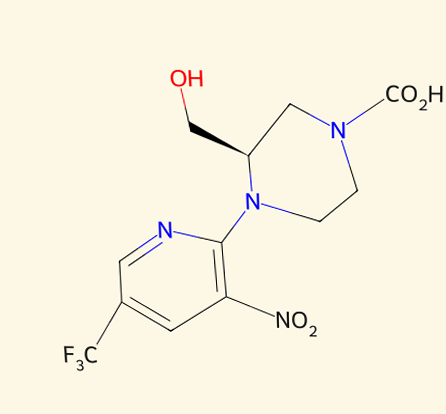 O=C(O)N1CCN(c2ncc(C(F)(F)F)cc2[N+](=O)[O-])[C@@H](CO)C1